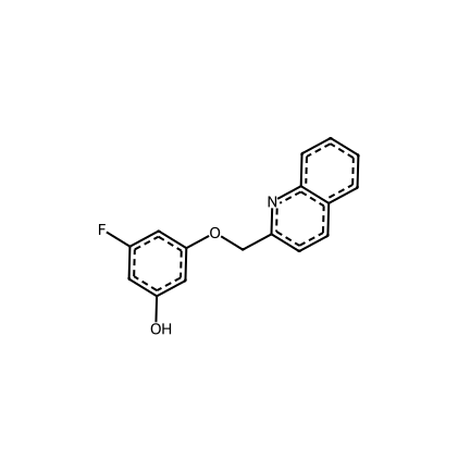 Oc1cc(F)cc(OCc2ccc3ccccc3n2)c1